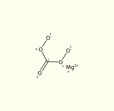 O=C(O[O-])O[O-].[Mg+2]